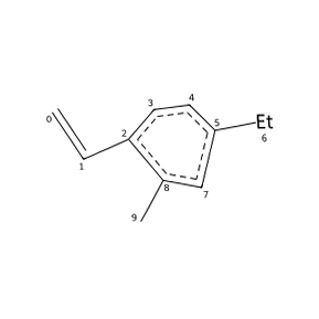 C=Cc1ccc(CC)cc1C